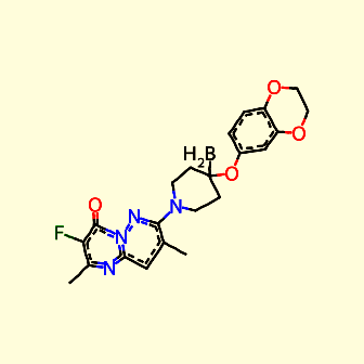 BC1(Oc2ccc3c(c2)OCCO3)CCN(c2nn3c(=O)c(F)c(C)nc3cc2C)CC1